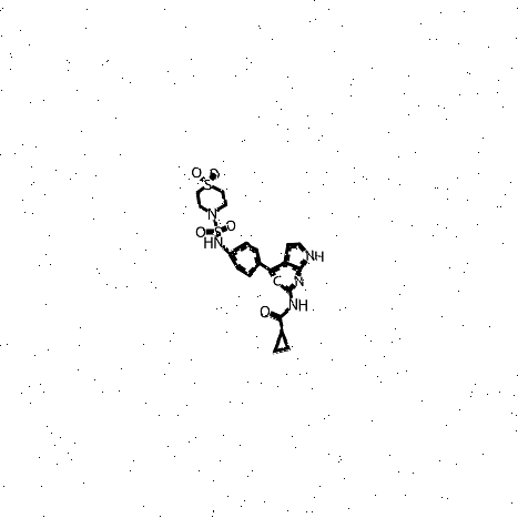 O=C(Nc1cc(-c2ccc(NS(=O)(=O)N3CCS(=O)(=O)CC3)cc2)c2cc[nH]c2n1)C1CC1